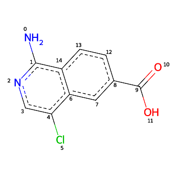 Nc1ncc(Cl)c2cc(C(=O)O)ccc12